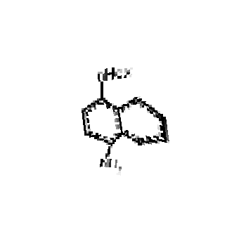 CCCCCCc1ccc(N)c2ccccc12